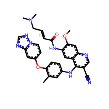 COc1cc2ncc(C#N)c(Nc3ccc(Oc4ccn5ncnc5c4)c(C)c3)c2cc1NC(=O)/C=C/CN(C)C